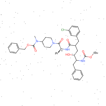 CC(C)[C@H](NC(=O)C(Cc1cccc(Cl)c1)CC(O)C(Cc1ccccc1)NC(=O)OC(C)(C)C)C(=O)N1CCC(N(C)C(=O)OCc2ccccc2)CC1